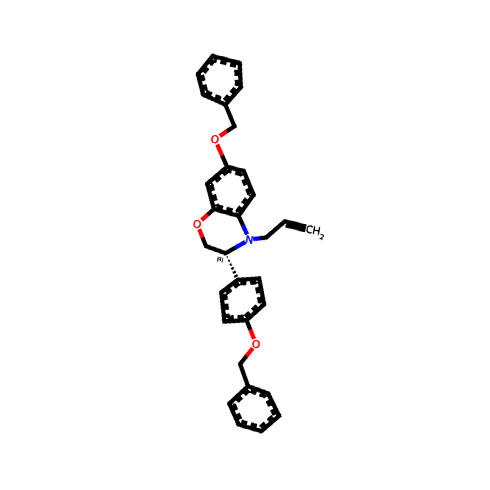 C=CCN1c2ccc(OCc3ccccc3)cc2OC[C@H]1c1ccc(OCc2ccccc2)cc1